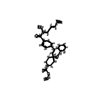 CCN(CCCNC)C(=O)c1ccc(C2=CC3(CCN(C(=O)OC(C)(C)C)CC3)Oc3ccccc32)cc1